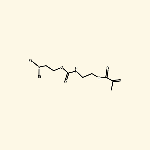 C=C(C)C(=O)OCCNC(=O)OCCN(CC)CC